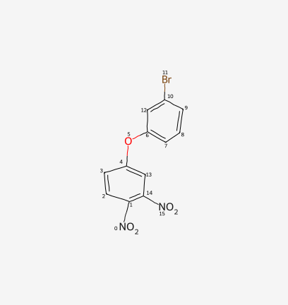 O=[N+]([O-])c1ccc(Oc2cccc(Br)c2)cc1[N+](=O)[O-]